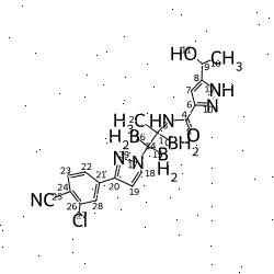 BC(C)(NC(=O)c1cc(C(C)O)[nH]n1)C(B)(B)n1ccc(-c2ccc(C#N)c(Cl)c2)n1